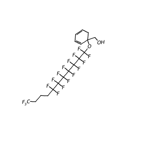 OCC1(OC(F)(F)C(F)(F)C(F)(F)C(F)(F)C(F)(F)C(F)(F)C(F)(F)CCCC(F)(F)F)C=CC=CC1